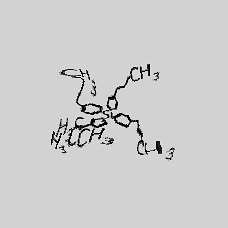 CCCCc1ccc([Si]([C]2C=CC(C(C)(C)C)=C2)(c2ccc(CCCC)cc2)c2ccc(CCCC)cc2)cc1